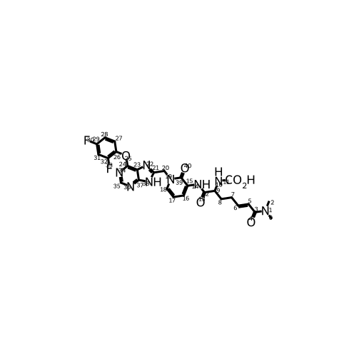 CN(C)C(=O)C=CCCC(NC(=O)O)C(=O)Nc1cccn(Cc2nc3c(Oc4ccc(F)cc4F)ncnc3[nH]2)c1=O